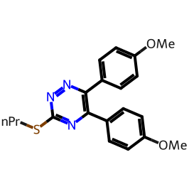 CCCSc1nnc(-c2ccc(OC)cc2)c(-c2ccc(OC)cc2)n1